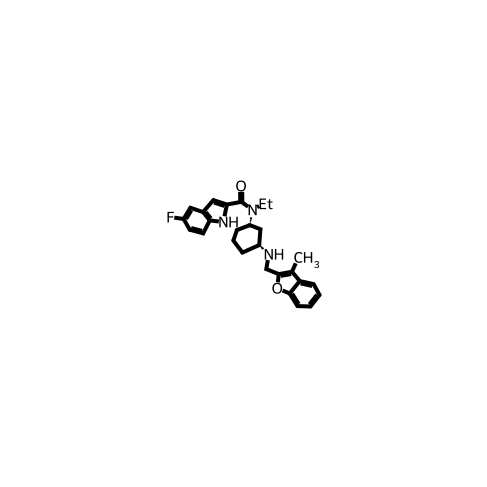 CCN(C(=O)c1cc2cc(F)ccc2[nH]1)[C@H]1CCC[C@@H](NCc2oc3ccccc3c2C)C1